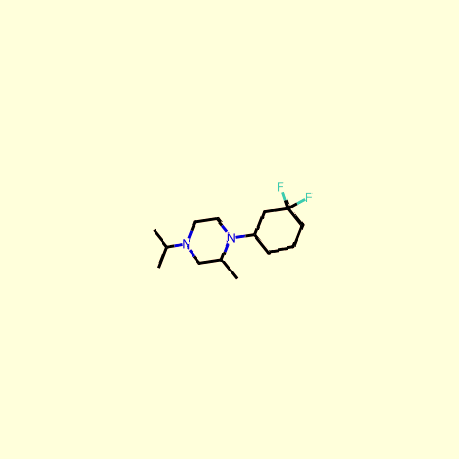 CC(C)N1CCN(C2CCCC(F)(F)C2)C(C)C1